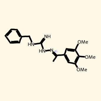 COc1cc(/C(C)=N/NC(=N)NCc2ccccc2)cc(OC)c1OC